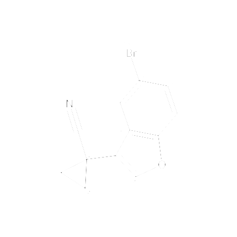 N#CC1(c2coc3ccc(Br)cc23)CC1